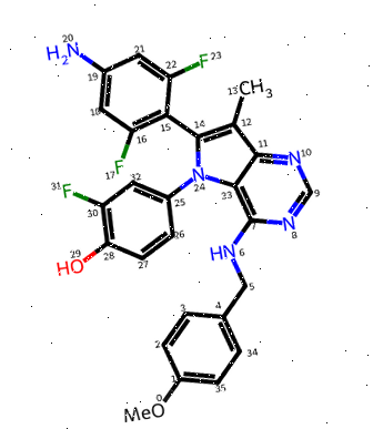 COc1ccc(CNc2ncnc3c(C)c(-c4c(F)cc(N)cc4F)n(-c4ccc(O)c(F)c4)c23)cc1